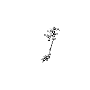 CCn1nc(C2CC2)cc1Nc1nc(C(=O)NCCCOCCOCCOCCCNc2cccc3c2C(=O)N(C2(F)CCC(=O)NC2=O)C3=O)nc2[nH]c3cc(-c4c(C)noc4C)c(OC)cc3c12